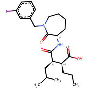 CCC[C@H](C(=O)O)[C@@H](CC(C)C)C(=O)N[C@H]1CCCCN(Cc2cccc(I)c2)C1=O